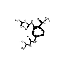 COC(=O)c1ccc(NC(=O)NC(C)C)cc1NC(=O)NC(C)C